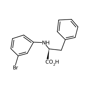 O=C(O)[C@H](Cc1ccccc1)Nc1cccc(Br)c1